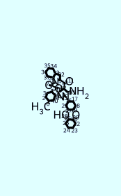 Cc1ccc(S(=O)(=O)n2c(C(=O)c3cnn(-c4ccc(Oc5ccccc5)c(O)c4)c3N)cc3ccccc32)cc1